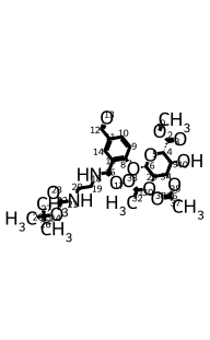 COC(=O)[C@H]1O[C@@H](Oc2ccc(C=O)cc2C(=O)NCCNC(=O)OC(C)(C)C)[C@H](OC(C)=O)[C@@H](OC(C)=O)[C@@H]1O